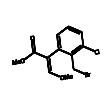 CO/C=C(/C(=O)OC)c1cccc(Cl)c1CBr